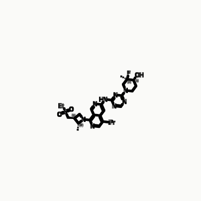 CCS(=O)(=O)C[C@H]1CN(c2ncc(C(C)C)c3cc(Nc4ncnc(N5CC[C@H](O)[C@](C)(F)C5)n4)ncc23)[C@@H]1C